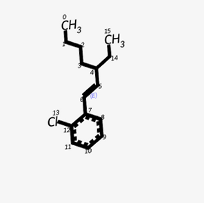 CCCCC(/C=C/c1ccccc1Cl)CC